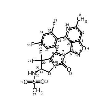 Cc1cc2onc(-n3cc4n(c3=O)C[C@@H](NS(C)(=O)=O)C4(F)F)c2c(-c2c(F)cc(F)cc2F)n1